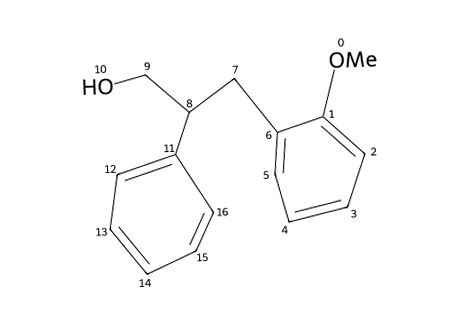 COc1ccccc1CC(CO)c1ccccc1